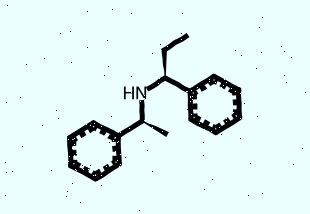 CC[C@H](N[C@@H](C)c1ccccc1)c1ccccc1